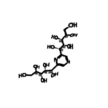 OC[C@@H](O)[C@@H](O)[C@H](O)[C@@H](O)c1cncc([C@H](O)[C@@H](O)[C@H](O)[C@H](O)CO)n1